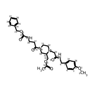 COc1ccc(CNC(=O)CN2CCN(C(=O)CCNC(=O)OCc3ccccc3)CC2COC(C)=O)cc1